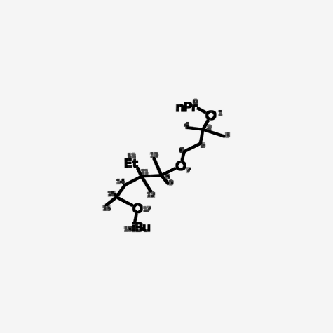 CCCOC(C)(C)CCOC(C)(C)C(C)(CC)CC(C)OC(C)CC